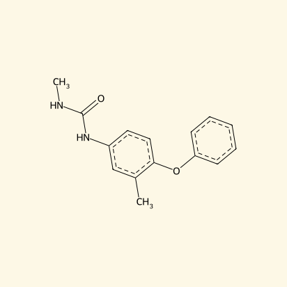 CNC(=O)Nc1ccc(Oc2ccccc2)c(C)c1